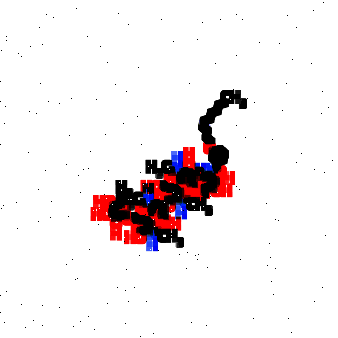 CCCCCC/C=C\CCCOc1cccc(C(=O)N[C@@H]2C(O[C@H]3C(O)C(NC(C)=O)[C@H](OC4C(CO)O[C@@H](O[C@H]5C(O)C(NC(C)=O)C(OC6C(CO[C@@H]7OC(C)C(O)[C@H](O)[C@H]7O)OC(O)[C@@H](NC(C)=O)[C@H]6O)O[C@H]5CO)[C@@H](NC(C)=O)[C@H]4O)O[C@H]3CO)OC(CO)[C@@H](O)[C@@H]2O)c1